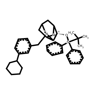 CC(C)(C)[Si](O[C@H]1C2CC3CC(N2)C1N(Cc1cccc(C2CCCCC2)c1)C3)(c1ccccc1)c1ccccc1